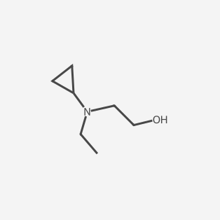 CCN(CCO)C1CC1